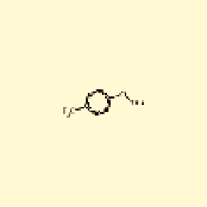 CC(C)(C)Oc1[c]cc(C(F)(F)F)cc1